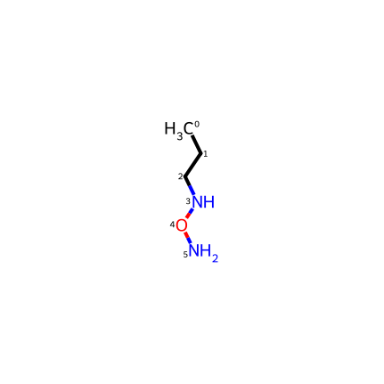 CCCNON